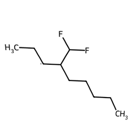 CC[CH]C(CCCCC)C(F)F